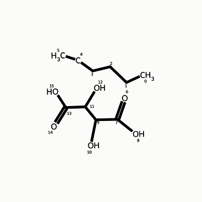 CCCCCC.O=C(O)C(O)C(O)C(=O)O